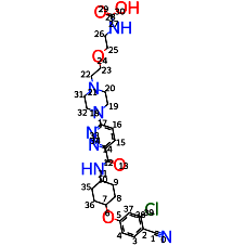 N#Cc1ccc(OC2CCC(NC(=O)c3ccc(N4CCN(CCOCCNC(=O)O)CC4)nn3)CC2)cc1Cl